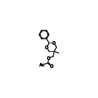 CC(=O)C(=O)OCC1(C)COC(c2ccccc2)OC1